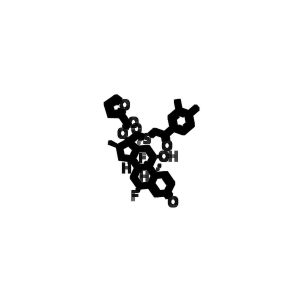 Cc1ccc(C(=O)CSC(=O)[C@@]2(OC(=O)c3ccco3)[C@H](C)C[C@H]3[C@@H]4C[C@H](F)C5=CC(=O)C=C[C@]5(C)[C@@]4(F)[C@@H](O)C[C@@]32C)cc1C